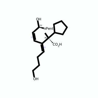 CCCCC[C@H](O)/C=C\C(=C/CCCO)[C@](C)(C(=O)O)C1CCCC1